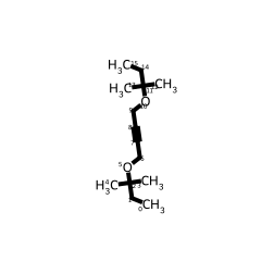 CCC(C)(C)OCC#CCOC(C)(C)CC